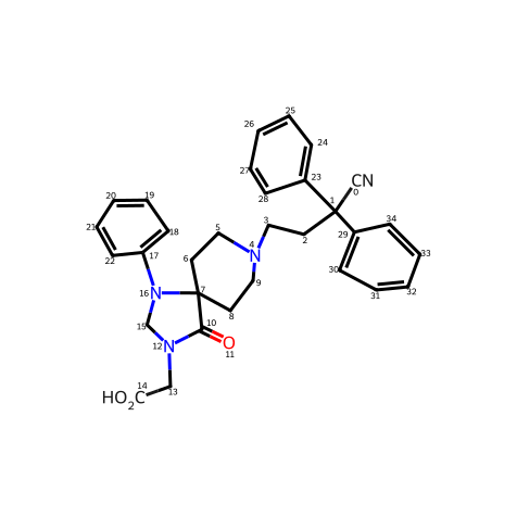 N#CC(CCN1CCC2(CC1)C(=O)N(CC(=O)O)CN2c1ccccc1)(c1ccccc1)c1ccccc1